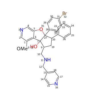 COc1cncc2c1C1(O)C(CNCc3ccncc3)CC(c3ccccc3)C1(c1ccc(Br)cc1)O2